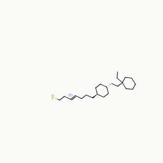 CCC1(CC[C@H]2CC[C@H](CCC/C=C/CCF)CC2)CCCCC1